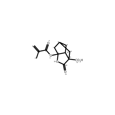 C=C(C)C(=O)OC12CC3CC1C(C(=O)O)(C3)C(=O)O2